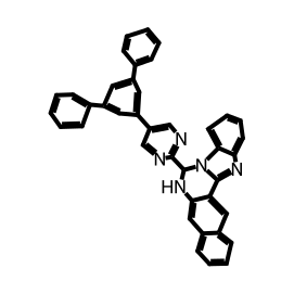 c1ccc(-c2cc(-c3ccccc3)cc(-c3cnc(C4Nc5cc6ccccc6cc5-c5nc6ccccc6n54)nc3)c2)cc1